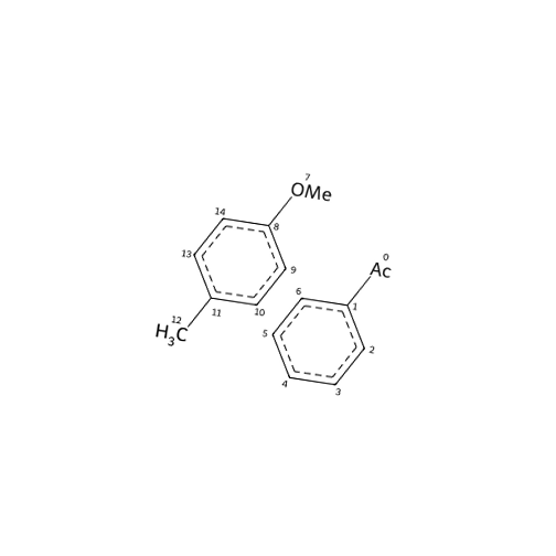 CC(=O)c1ccccc1.COc1ccc(C)cc1